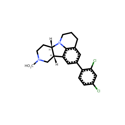 O=C(O)N1CC[C@H]2[C@@H](C1)c1cc(-c3ccc(Cl)cc3Cl)cc3c1N2CCC3